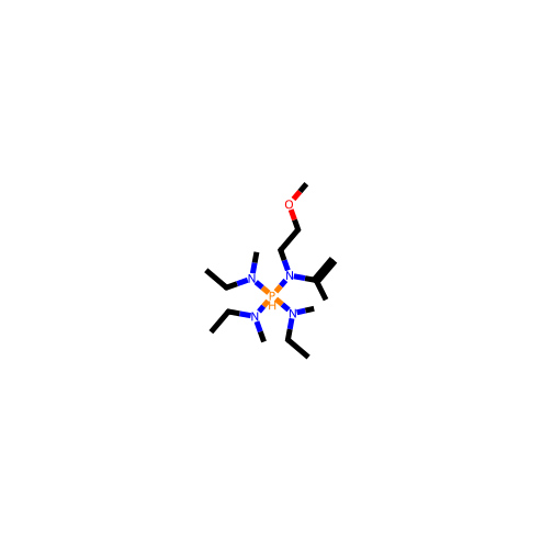 C=C(C)N(CCOC)[PH](N(C)CC)(N(C)CC)N(C)CC